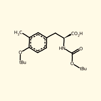 Cc1cc(C[C@H](NC(=O)OC(C)(C)C)C(=O)O)ccc1OC(C)(C)C